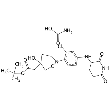 CC(C)(C)OC(=O)CC1(O)CCN(c2ccc(NC3CCC(=O)NC3=O)cc2Cl)CC1.NC(=O)O